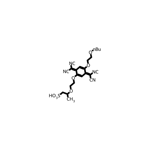 [C-]#[N+]/C(C#N)=c1/cc(OCCOC(C)CS(=O)(=O)O)/c(=C(\C#N)[N+]#[C-])cc1OCCOCCCC